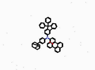 c1ccc(-c2cccc3cccc(-c4ccc(N(c5ccc(C67CC8CC(CC(C8)C6)C7)cc5)c5ccc6c(c5)-c5ccccc5C6(c5ccccc5)c5ccccc5)cc4)c23)cc1